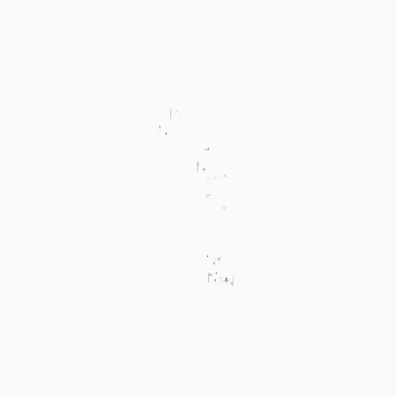 CC(C)NC1CCN(C(=O)CCCCc2c[nH]nn2)CC1